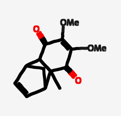 COC1=C(OC)C(=O)C2(C)C3C=CC(C3)C2C1=O